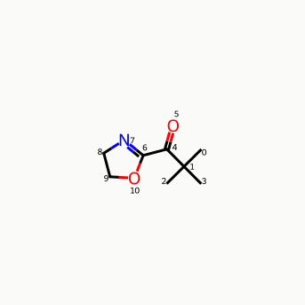 CC(C)(C)C(=O)C1=NCCO1